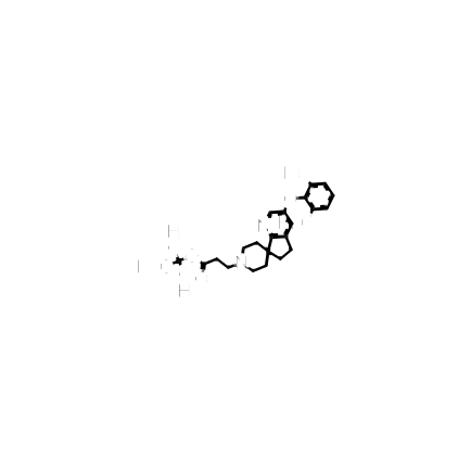 Cc1cccc(C)c1Oc1cnc2c(c1)CCC21CCN(CCC(=O)OC(C)(C)C)CC1